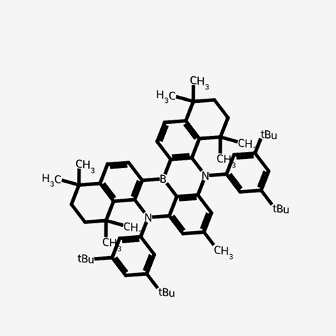 Cc1cc2c3c(c1)N(c1cc(C(C)(C)C)cc(C(C)(C)C)c1)c1c(ccc4c1C(C)(C)CCC4(C)C)B3c1ccc3c(c1N2c1cc(C(C)(C)C)cc(C(C)(C)C)c1)C(C)(C)CCC3(C)C